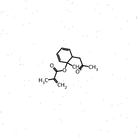 C=C(C)C(=O)OC1(C)C=CC=CC1CC(C)=O